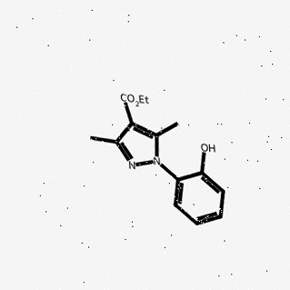 CCOC(=O)c1c(C)nn(-c2ccccc2O)c1C